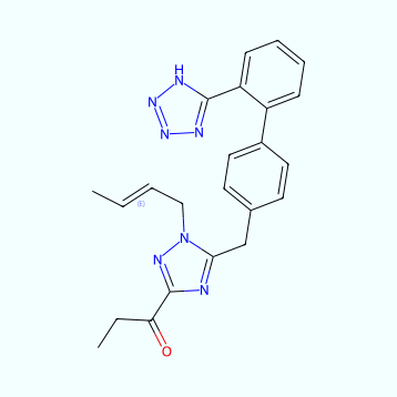 C/C=C/Cn1nc(C(=O)CC)nc1Cc1ccc(-c2ccccc2-c2nnn[nH]2)cc1